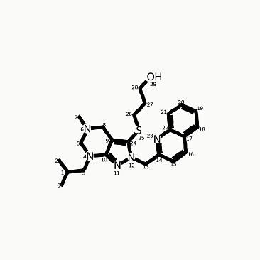 CC(C)CN1CN(C)Cc2c1nn(Cc1ccc3ccccc3n1)c2SCCCO